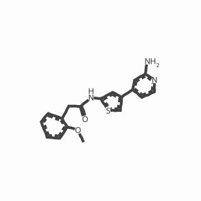 COc1ccccc1CC(=O)Nc1cc(-c2ccnc(N)c2)cs1